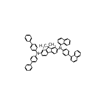 CC1(C)c2cc(N(c3ccc(-c4ccccc4)cc3)c3ccc(-c4ccccc4)cc3)ccc2-c2ccc(N(c3ccc(-c4cccc5ccccc45)cc3)c3cccc4ccccc34)cc21